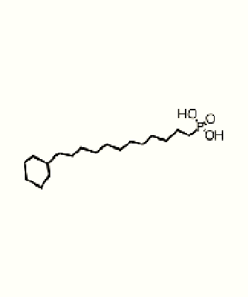 O=P(O)(O)CCCCCCCCCCCCC1CCCCC1